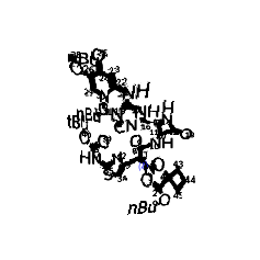 CCCCOC(=O)C1(O/N=C(\C(=O)N[C@@H]2C(=O)N[C@@H]2CNC(=NC#N)Nc2cc(=O)c(OCCCC)cn2OCCCC)c2csc(NC(=O)OC(C)(C)C)n2)CCC1